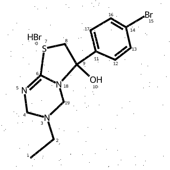 Br.CCN1CN=C2SCC(O)(c3ccc(Br)cc3)N2C1